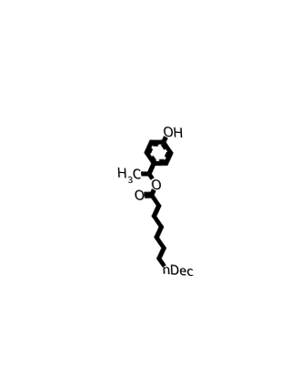 CCCCCCCCCCCCCCCCC(=O)OC(C)c1ccc(O)cc1